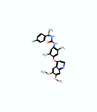 COc1cc2nccc(Oc3cc(C)c(NC(=O)N[C@H](C)c4ccc(F)cc4)cc3C)c2cc1OC